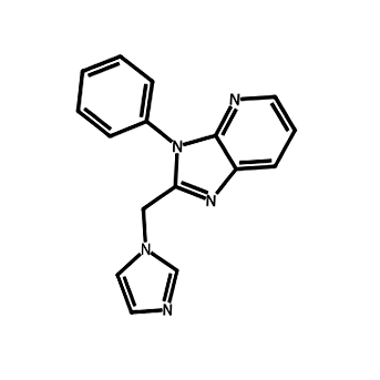 c1ccc(-n2c(Cn3ccnc3)nc3cccnc32)cc1